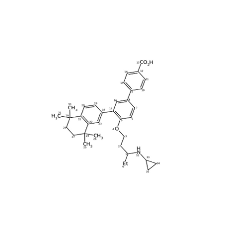 CCC(CCOc1ccc(-c2ccc(C(=O)O)cc2)cc1-c1ccc2c(c1)C(C)(C)CCC2(C)C)NC1CC1